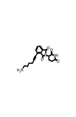 NCCCCC#Cc1cccc2c1C(=O)N(C1CCC(=O)NC1=O)C2=O